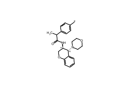 CC(C(=O)N[C@@H]1COc2ccccc2[C@H]1N1CCOCC1)c1ccc(F)cc1